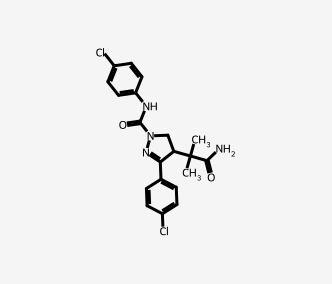 CC(C)(C(N)=O)C1CN(C(=O)Nc2ccc(Cl)cc2)N=C1c1ccc(Cl)cc1